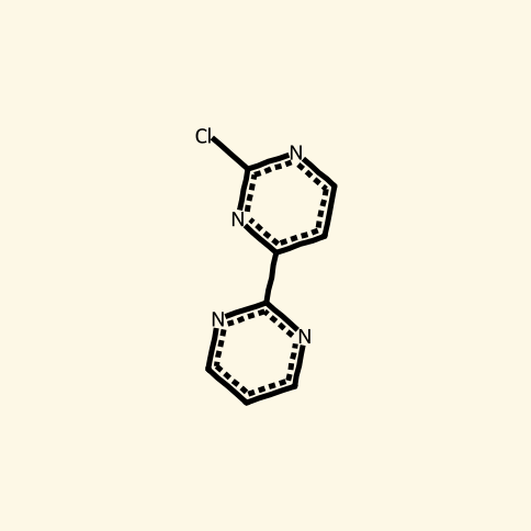 Clc1nccc(-c2ncccn2)n1